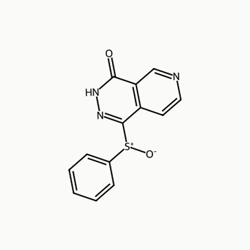 O=c1[nH]nc([S+]([O-])c2ccccc2)c2ccncc12